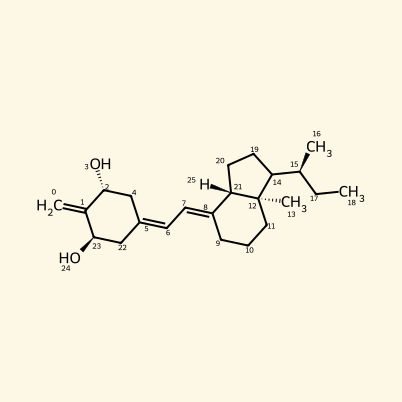 C=C1[C@H](O)CC(=C/C=C2\CCC[C@]3(C)C([C@@H](C)CC)CC[C@@H]23)C[C@H]1O